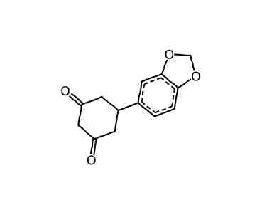 O=C1CC(=O)CC(c2ccc3c(c2)OCO3)C1